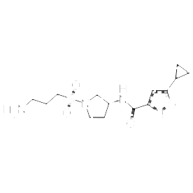 NCCCS(=O)(=O)N1CC[C@H](NC(=O)c2cc(C3CC3)on2)C1